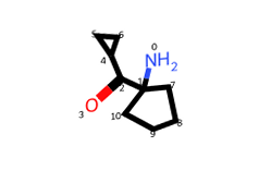 NC1(C(=O)C2CC2)CCCC1